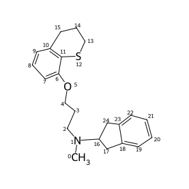 CN(CCCOc1cccc2c1SCCC2)C1Cc2ccccc2C1